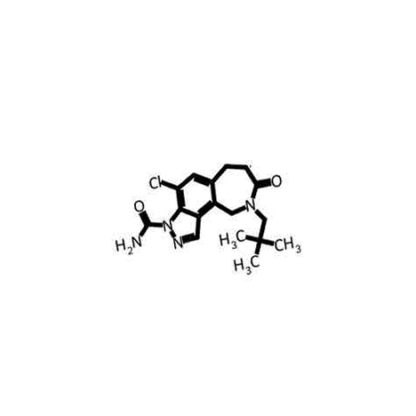 CC(C)(C)CN1Cc2c(cc(Cl)c3c2cnn3C(N)=O)C[CH]C1=O